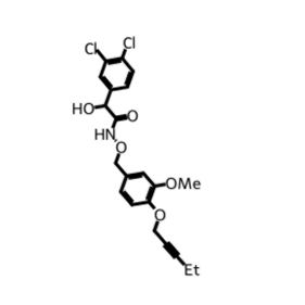 CCC#CCOc1ccc(CONC(=O)C(O)c2ccc(Cl)c(Cl)c2)cc1OC